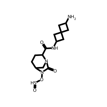 NC1CC2(C1)CC(NC(=O)C1CCC3CN1C(=O)N3O[SH]=O)C2